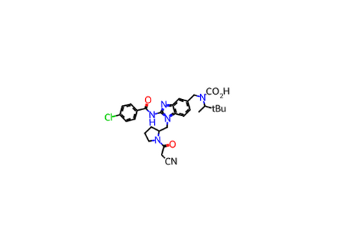 CC(N(Cc1ccc2c(c1)nc(NC(=O)c1ccc(Cl)cc1)n2CC1CCCN1C(=O)CC#N)C(=O)O)C(C)(C)C